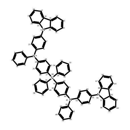 c1ccc(N(c2ccc(-n3c4ccccc4c4ccccc43)cc2)c2ccc([Si](c3ccccc3)(c3ccccc3)c3ccc(N(c4ccccc4)c4ccc(-n5c6ccccc6c6ccccc65)cc4)cc3)cc2)cc1